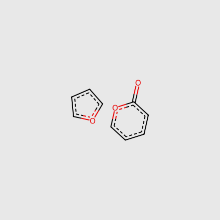 O=c1cccco1.c1ccoc1